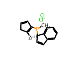 CP1C2=[C](CC=C2)[Zr+2][C]12C=Cc1ccccc12.[Cl-].[Cl-]